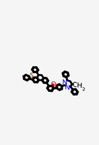 C=C1CC(c2ccccc2)=NC(c2ccc3c(c2)oc2c(-c4ccc5c(c4)-c4ccc6c(sc7ccccc76)c4C(c4ccccc4)C5)cccc23)=NC1c1ccccc1